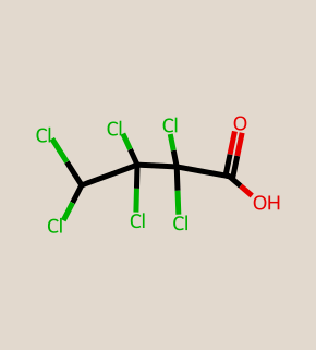 O=C(O)C(Cl)(Cl)C(Cl)(Cl)C(Cl)Cl